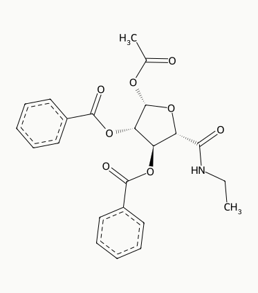 CCNC(=O)[C@H]1O[C@@H](OC(C)=O)[C@@H](OC(=O)c2ccccc2)[C@@H]1OC(=O)c1ccccc1